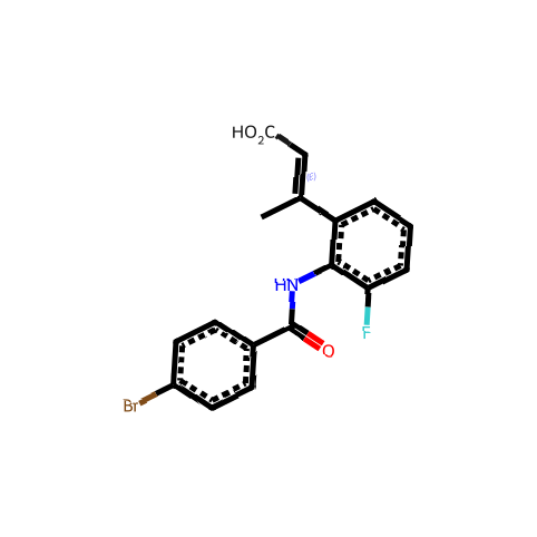 C/C(=C\C(=O)O)c1cccc(F)c1NC(=O)c1ccc(Br)cc1